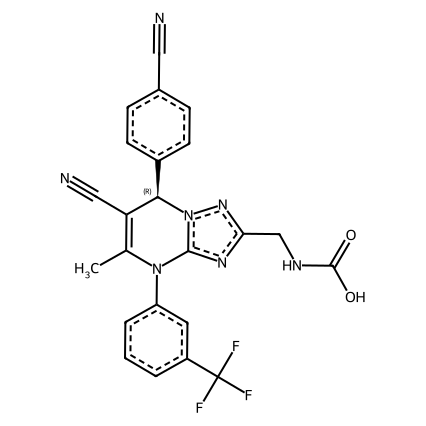 CC1=C(C#N)[C@@H](c2ccc(C#N)cc2)n2nc(CNC(=O)O)nc2N1c1cccc(C(F)(F)F)c1